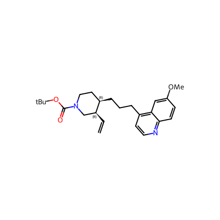 C=C[C@H]1CN(C(=O)OC(C)(C)C)CC[C@H]1CCCc1ccnc2ccc(OC)cc12